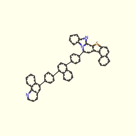 c1ccc2c(c1)ccc1sc3c(cc(-c4ccc(-c5ccc(-c6ccc(-c7cc8cccnc8c8ccccc78)cc6)c6ccccc56)cc4)n4c5ccccc5nc34)c12